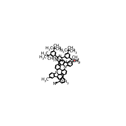 Cc1ccc2c(c1)c1cc(C)ccc1n2-c1ccc(-c2cccc(C#N)c2)cc1-c1cc(-c2nc(-c3cc(C(C)(C)C)cc(C(C)(C)C)c3)nc(-c3cc(C(C)(C)C)cc(C(C)(C)C)c3)n2)ccc1-n1c2ccc(C)cc2c2cc(C)ccc21